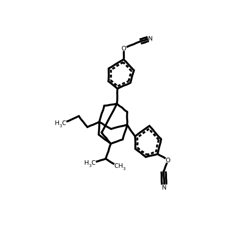 CCCC12CC3(c4ccc(OC#N)cc4)CC(c4ccc(OC#N)cc4)(C1)CC(C(C)C)(C2)C3